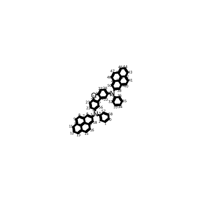 c1ccc(N(c2cc3ccc4cccc5ccc(c2)c3c45)c2ccc3oc4ccc(N(c5ccccc5)c5cc6ccc7cccc8ccc(c5)c6c78)cc4c3c2)cc1